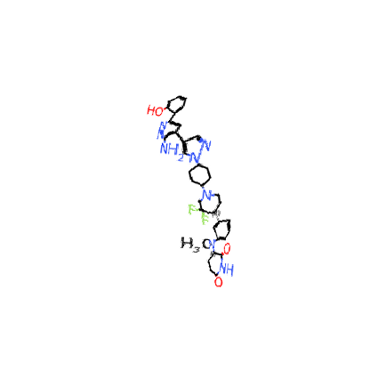 CN(c1cccc([C@H]2CCN([C@H]3CC[C@H](n4cc(-c5cc(-c6ccccc6O)nnc5N)cn4)CC3)CC2(F)F)c1)[C@@H]1CCC(=O)NC1=O